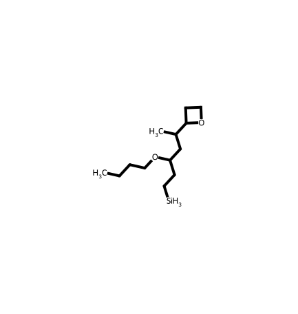 CCCCOC(CC[SiH3])CC(C)C1CCO1